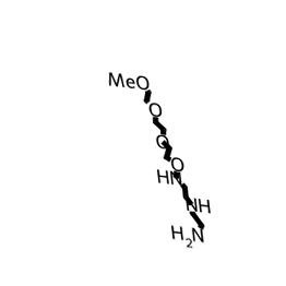 COCCOCCOCCONCCNCCN